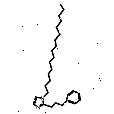 CCCCCCCCCCCCCCCCn1ccnc1CCCc1ccccc1